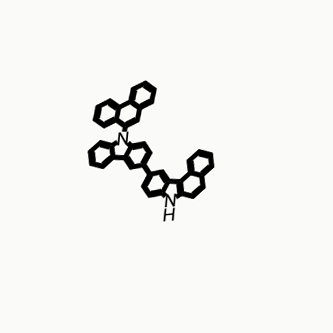 c1ccc2c(c1)cc(-n1c3ccccc3c3cc(-c4ccc5[nH]c6ccc7ccccc7c6c5c4)ccc31)c1ccccc12